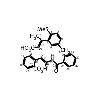 CSc1ccc(C)cc1/C(C)=C/C(=O)O.O=C(O)/C(=C\c1ccccc1)NC(=O)c1ccccc1